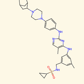 Cc1cc(CNS(=O)(=O)C2CC2)cc(Nc2nc(Nc3ccc(N4CCN(C5CC6CCC5C6)CC4)cc3)ncc2C)c1